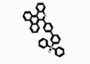 O=P(c1ccccc1)(c1ccccc1)c1cccc(-c2ccc(-c3nc4ccccc4c4c5ccccc5c5ccccc5c34)cc2)c1